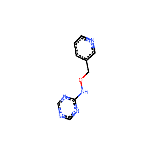 c1cncc(CONc2ncncn2)c1